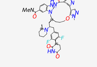 CNC(=O)c1ccc2c(c1)N1C[C@H](CC(Cc3cc(F)c([C@H]4CCC(=O)NC4=O)c(F)c3)N3CCCC[C@H]3C)CCCOc3c(cnn3C)-c3cc(cc(C)n3)C(=O)/N=C/1N2